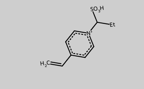 C=Cc1cc[n+](C(CC)S(=O)(=O)O)cc1